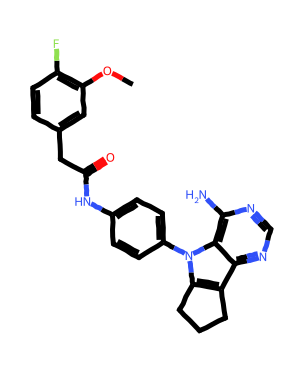 COc1cc(CC(=O)Nc2ccc(-n3c4c(c5ncnc(N)c53)CCC4)cc2)ccc1F